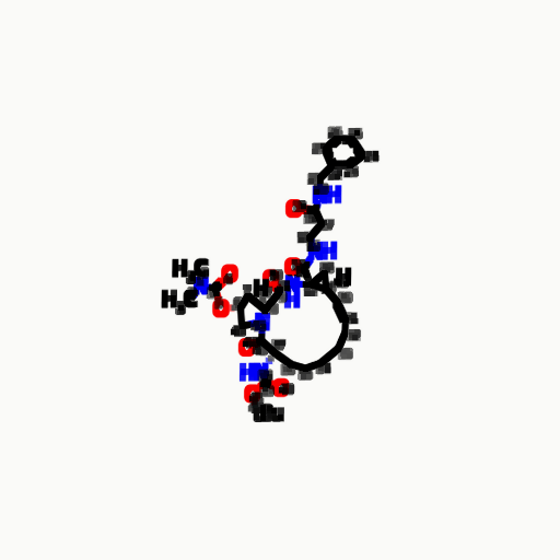 CN(C)C(=O)O[C@@H]1C[C@H]2C(=O)N[C@]3(C(=O)NCCC(=O)NCc4ccccc4)C[C@H]3/C=C\CCCCC[C@H](NC(=O)OC(C)(C)C)C(=O)N2C1